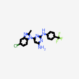 Cc1nc2cc(Cl)ccc2n1-c1cc(N)nc(Nc2ccc(C(F)(F)F)cc2)n1